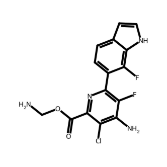 NCOC(=O)c1nc(-c2ccc3cc[nH]c3c2F)c(F)c(N)c1Cl